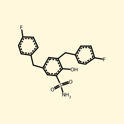 NS(=O)(=O)c1cc(Cc2ccc(F)cc2)cc(Cc2ccc(F)cc2)c1O